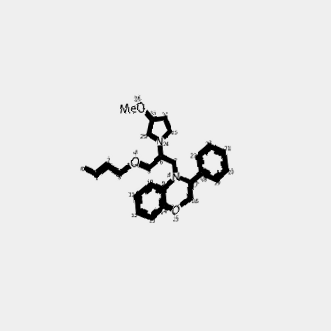 CC=CCOCC(CN1c2ccccc2OCC1c1ccccc1)N1CCC(OC)C1